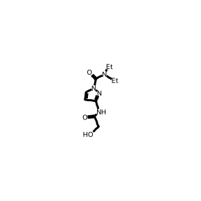 CCN(CC)C(=O)n1ccc(NC(=O)CO)n1